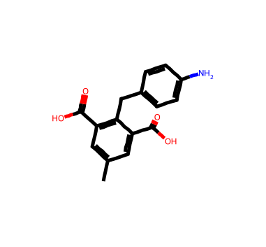 Cc1cc(C(=O)O)c(Cc2ccc(N)cc2)c(C(=O)O)c1